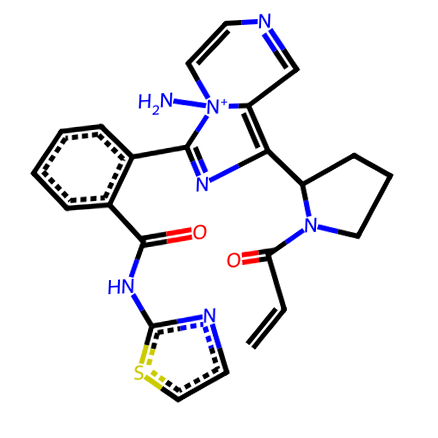 C=CC(=O)N1CCCC1C1=C2C=NC=C[N+]2(N)C(c2ccccc2C(=O)Nc2nccs2)=N1